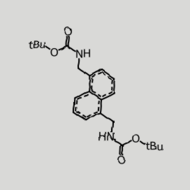 CC(C)(C)OC(=O)NCc1cccc2c(CNC(=O)OC(C)(C)C)cccc12